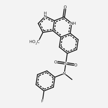 CN(c1cccc(F)c1)S(=O)(=O)c1ccc2[nH]c(=O)c3[nH]cc(C(=O)O)c3c2c1